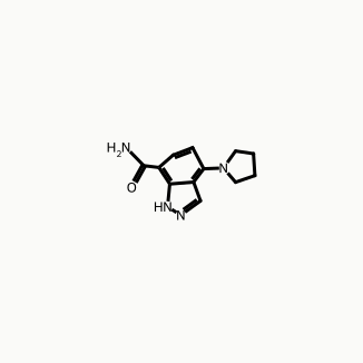 NC(=O)c1ccc(N2CCCC2)c2cn[nH]c12